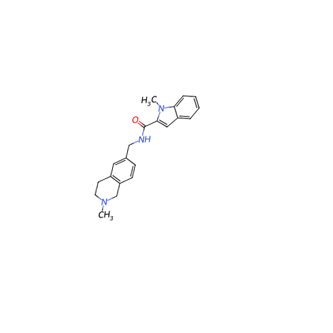 CN1CCc2cc(CNC(=O)c3cc4ccccc4n3C)ccc2C1